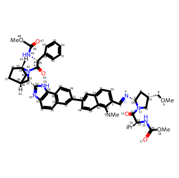 CNc1c(/C=N/[C@@H]2C[C@H](COC)CN2C(=O)[C@@H](NC(=O)OC)C(C)C)ccc2cc(-c3ccc4c(ccc5nc([C@@H]6[C@@H]7CC[C@@H](C7)N6C(=O)[C@H](NC(=O)OC)c6ccccc6)[nH]c54)c3)ccc12